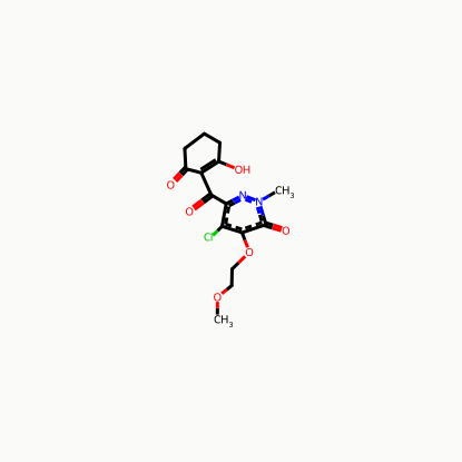 COCCOc1c(Cl)c(C(=O)C2=C(O)CCCC2=O)nn(C)c1=O